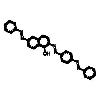 Oc1c(N=Nc2ccc(N=Nc3ccccc3)cc2)ccc2cc(N=Nc3ccccc3)ccc12